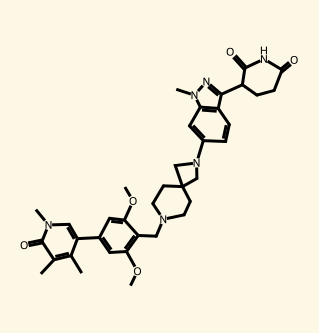 COc1cc(-c2cn(C)c(=O)c(C)c2C)cc(OC)c1CN1CCC2(CC1)CN(c1ccc3c(C4CCC(=O)NC4=O)nn(C)c3c1)C2